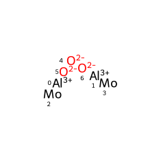 [Al+3].[Al+3].[Mo].[Mo].[O-2].[O-2].[O-2]